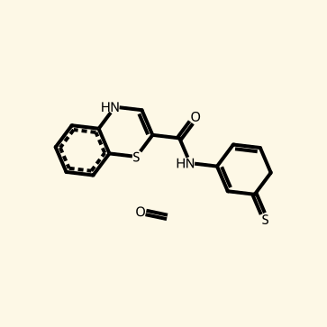 C=O.O=C(NC1=CC(=S)CC=C1)C1=CNc2ccccc2S1